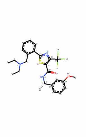 CCN(CC)Cc1ccccc1-c1nc(C(F)(F)F)c(C(=O)N[C@@H](C)c2cccc(OC)c2)s1